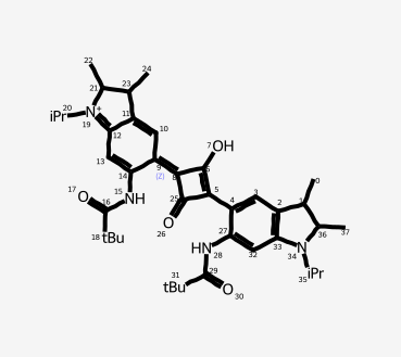 CC1c2cc(C3=C(O)/C(=c4\cc5c(cc4NC(=O)C(C)(C)C)=[N+](C(C)C)C(C)C5C)C3=O)c(NC(=O)C(C)(C)C)cc2N(C(C)C)C1C